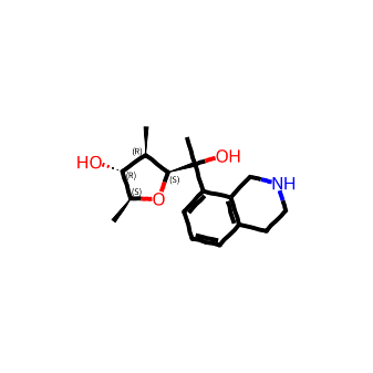 C[C@@H]1[C@@H](O)[C@H](C)O[C@@H]1C(C)(O)c1cccc2c1CNCC2